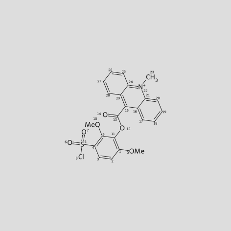 COc1ccc(S(=O)(=O)Cl)c(OC)c1OC(=O)c1c2ccccc2[n+](C)c2ccccc12